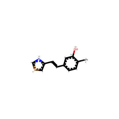 CC(C)c1ccc(/C=C/c2cscn2)cc1O